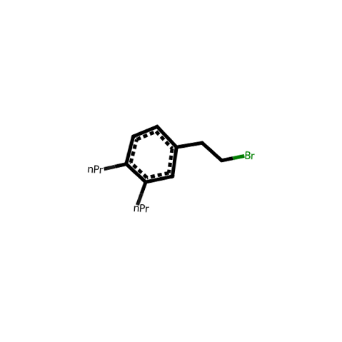 CCCc1ccc(CCBr)cc1CCC